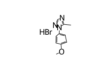 Br.COc1ccc(-n2ncnc2C)cc1